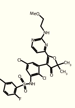 COCCNc1nccc(C2=C(c3cc(Cl)cc(NS(=O)(=O)c4cc(F)ccc4F)c3Cl)C(=O)C(C)(C)O2)n1